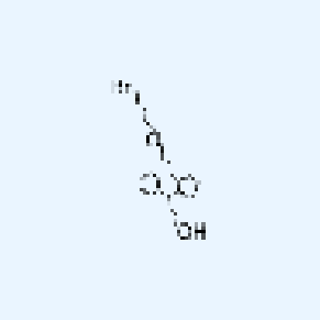 OCCCC(c1ccccc1)c1ccccc1CCCCOCCCCCBr